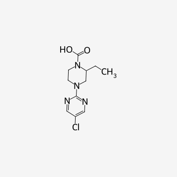 CCC1CN(c2ncc(Cl)cn2)CCN1C(=O)O